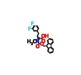 CN(C(=O)OCC1c2ccccc2-c2ccccc21)[C@@H](CCc1ccc(F)c(F)c1)C(=O)O